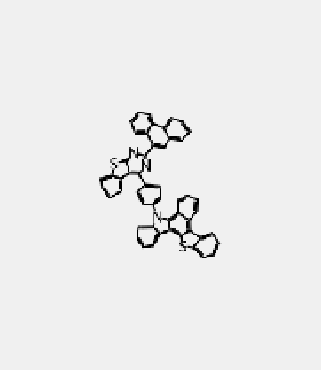 c1ccc2c(c1)cc(-c1nc(-c3ccc(-n4c5ccccc5c5c6sc7ccccc7c6c6ccccc6c54)cc3)c3c(n1)sc1ccccc13)c1ccccc12